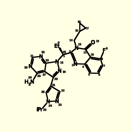 CC[C@@H](c1nc2cccc(F)c2c(=O)n1CC1CC1)n1nc(-c2cnn(C(C)C)c2)c2c(N)ncnc21